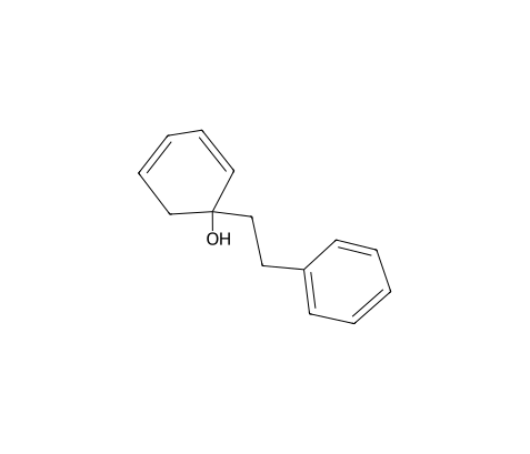 OC1(CCc2ccccc2)C=CC=CC1